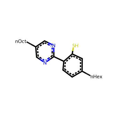 CCCCCCCCc1cnc(-c2ccc(CCCCCC)cc2S)nc1